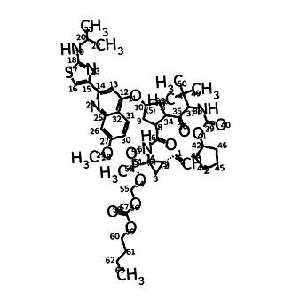 C=C[C@@H]1C[C@]1(NC(=O)C1C[C@@H](Oc2cc(-c3csc(NC(C)C)n3)nc3cc(OC)ccc23)CC1C(=O)C(NC(=O)OC1CCCC1)C(C)(C)C)P(C)(=O)OCOC(=O)OCCCC